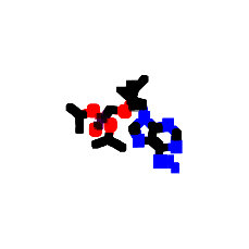 CC(C)OP(=O)(CO[C@]1(Cn2cnc3c(N)ncnc32)C[C@H]1C)OC(C)C